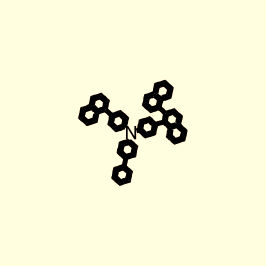 c1ccc(-c2ccc(N(c3ccc(-c4cccc5ccccc45)cc3)c3ccc(-c4c(-c5cccc6ccccc56)ccc5ccccc45)cc3)cc2)cc1